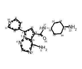 Nc1ncnn2c(-c3ccncc3)cc(C(=O)N[C@H]3CC[C@H](N)CC3)c12